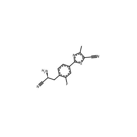 Cc1nc(-c2ccc(C[C@H](N)C#N)c(F)c2)sc1C#N